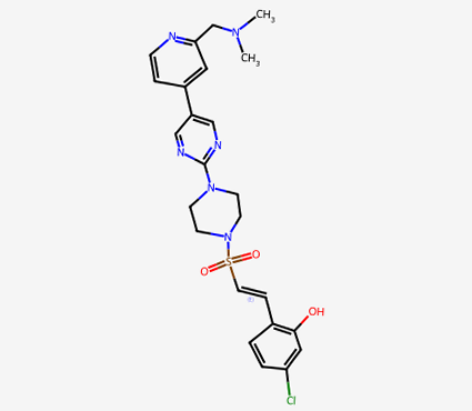 CN(C)Cc1cc(-c2cnc(N3CCN(S(=O)(=O)/C=C/c4ccc(Cl)cc4O)CC3)nc2)ccn1